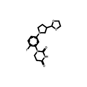 O=C1CCN(c2cc(N3CCC(C4OCCO4)C3)ccc2F)C(=O)N1